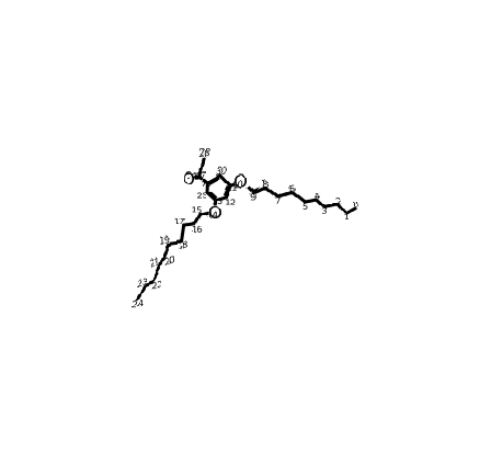 CCCCCCCCCCOc1cc(OCCCCCCCCCC)cc(C(C)=O)c1